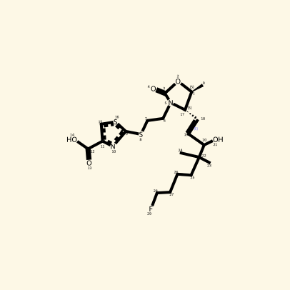 C[C@@H]1OC(=O)N(CCSc2nc(C(=O)O)cs2)[C@H]1/C=C/C(O)C(C)(C)CCCCF